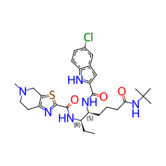 CC[C@@H](NC(=O)c1nc2c(s1)CN(C)CC2)[C@H](CCCC(=O)NC(C)(C)C)NC(=O)c1cc2cc(Cl)ccc2[nH]1